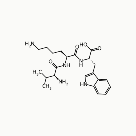 CC(C)[C@H](N)C(=O)N[C@@H](CCCCN)C(=O)N[C@@H](Cc1c[nH]c2ccccc12)C(=O)O